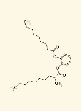 CCCCCCCCC(=O)Oc1ccccc1OC(=O)C(C)CCCCCCCC